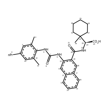 CCCc1cc(C)c(NC(=O)Nc2cc3ccccc3cc2C(=O)N[C@H](C(=O)O)C2(C)CCCCC2)c(C)c1